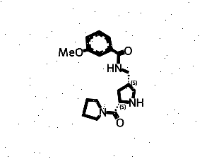 COc1cccc(C(=O)NC[C@@H]2CN[C@H](C(=O)N3CCCC3)C2)c1